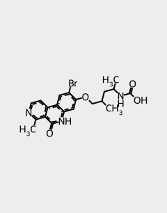 Cc1nccc2c1c(=O)[nH]c1cc(OCC(C)CC(C)NC(=O)O)c(Br)cc12